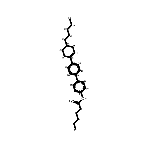 CCCCCC(=O)Oc1ccc(-c2ccc(C3=CCC(CCCCC)CC3)cc2)cc1